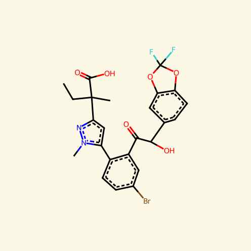 CCC(C)(C(=O)O)c1cc(-c2ccc(Br)cc2C(=O)C(O)c2ccc3c(c2)OC(F)(F)O3)n(C)n1